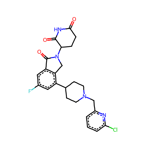 O=C1CCC(N2Cc3c(cc(F)cc3C3CCN(Cc4cccc(Cl)n4)CC3)C2=O)C(=O)N1